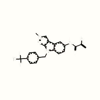 C=C(F)C(=O)Nc1ccc2c(c1)c1cn(C)nc1n2Cc1ccc(C(F)(F)F)cc1